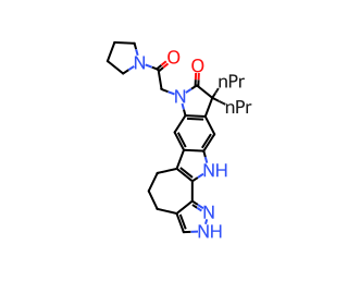 CCCC1(CCC)C(=O)N(CC(=O)N2CCCC2)c2cc3c4c([nH]c3cc21)-c1n[nH]cc1CCC4